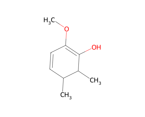 COC1=C(O)C(C)C(C)C=C1